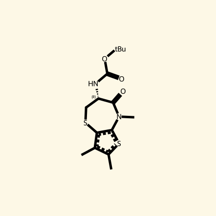 Cc1sc2c(c1C)SC[C@H](NC(=O)OC(C)(C)C)C(=O)N2C